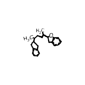 CC(CCC(C)C1Cc2ccccc2O1)C1Cc2ccccc2C1